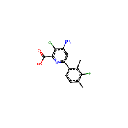 Cc1ccc(-c2cc(N)c(Cl)c(C(=O)O)n2)c(C)c1F